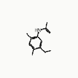 C=C(C)Nc1cc(CC)c(C)cc1C